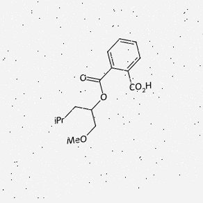 COCC(CC(C)C)OC(=O)c1ccccc1C(=O)O